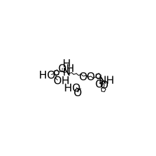 CC(=O)O.O=C(Nc1cccc(COCCOCCCCCCNC[C@H](O)c2ccc(O)c(CO)c2)c1)OC1CCCC1